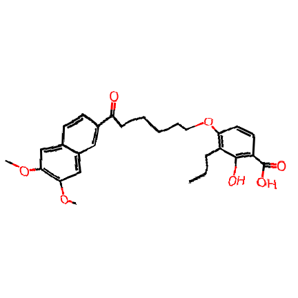 CCCc1c(OCCCCCC(=O)c2ccc3cc(OC)c(OC)cc3c2)ccc(C(=O)O)c1O